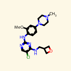 COc1cc(N2CCN(C)CC2)ccc1Nc1ncc(Cl)c(NCC2COC2)n1